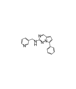 c1ccc(-c2ccc3cnc(NCc4cccnc4)nn23)cc1